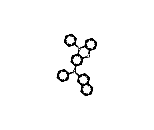 c1ccc(N(c2ccc3c(c2)Oc2ccccc2N3c2ccccc2)c2ccc3ccccc3c2)cc1